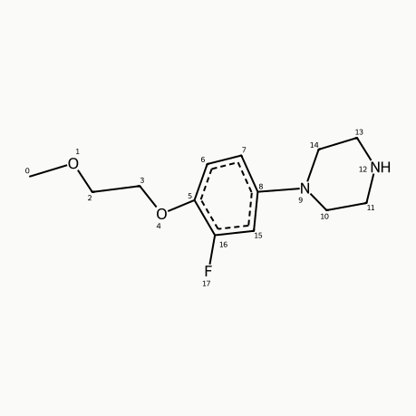 COCCOc1ccc(N2CCNCC2)cc1F